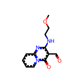 COCCNc1nc2ccccn2c(=O)c1C=O